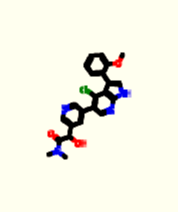 COc1ccccc1-c1c[nH]c2ncc(-c3cncc(C(O)C(=O)N(C)C)c3)c(Cl)c12